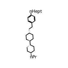 CCCCCCCc1ccc(CC[C@H]2CC[C@H]([C@H]3CC[C@H](CCC)CC3)CC2)cc1